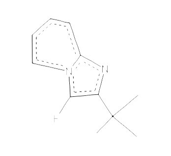 CC(C)(C)c1nc2ccccn2c1F